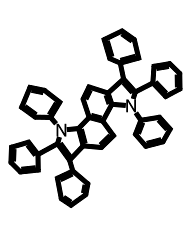 c1ccc(-c2c(-c3ccccc3)n(-c3ccccc3)c3c2ccc2c3ccc3c(-c4ccccc4)c(-c4ccccc4)n(-c4ccccc4)c32)cc1